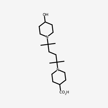 CC(C)(CCC(C)(C)N1CCC(C(=O)O)CC1)N1CCC(O)CC1